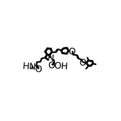 CNC(=O)CCCc1cn(CC(=O)O)c2c(C=Cc3ccc(OC/C=C/COc4c(C)cc(C)cc4C)cc3)cccc12